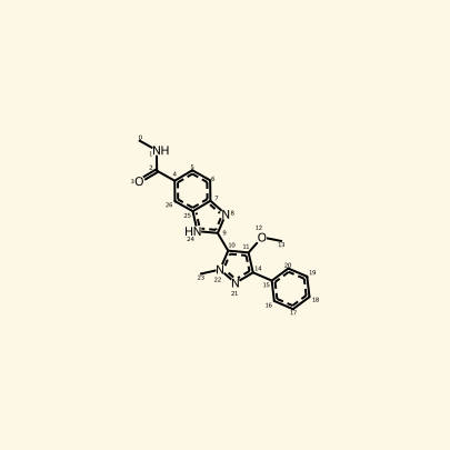 CNC(=O)c1ccc2nc(-c3c(OC)c(-c4ccccc4)nn3C)[nH]c2c1